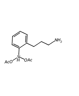 CC(=O)O[SiH](OC(C)=O)c1ccccc1CCCN